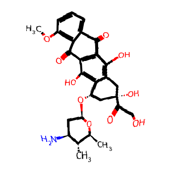 COc1cccc2c1C(=O)c1c(O)c3c(c(O)c1C2=O)C[C@@](O)(C(=O)CO)C[C@@H]3O[C@@H]1C[C@H](N)[C@@H](C)[C@H](C)O1